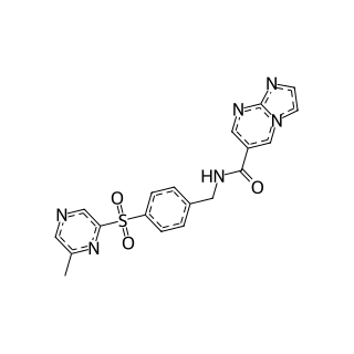 Cc1cncc(S(=O)(=O)c2ccc(CNC(=O)c3cnc4nccn4c3)cc2)n1